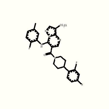 CCOC(=O)c1cnn2c(Nc3cc(C)ccc3F)c(C(=O)N3CCC(c4ccc(F)cc4F)CC3)cnc12